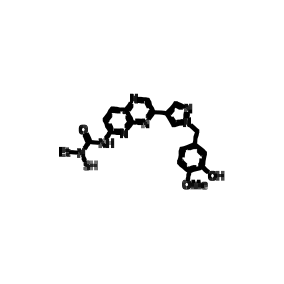 CCN(S)C(=O)Nc1ccc2ncc(-c3cnn(Cc4ccc(OC)c(O)c4)c3)nc2n1